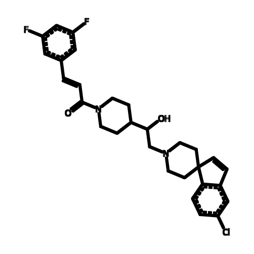 O=C(C=Cc1cc(F)cc(F)c1)N1CCC(C(O)CN2CCC3(C=Cc4cc(Cl)ccc43)CC2)CC1